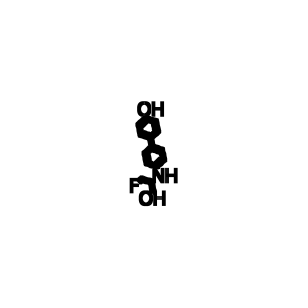 OCC(CF)Nc1ccc(-c2ccc(O)cc2)cc1